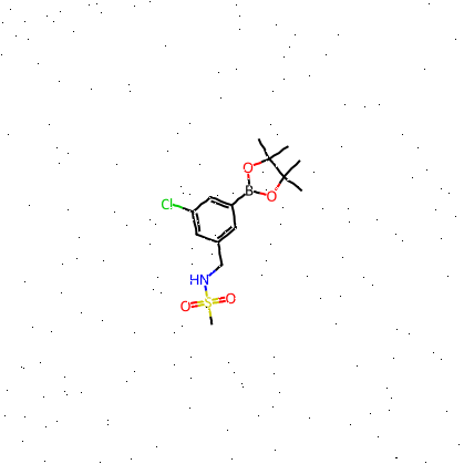 CC1(C)OB(c2cc(Cl)cc(CNS(C)(=O)=O)c2)OC1(C)C